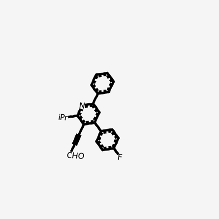 CC(C)c1nc(-c2ccccc2)cc(-c2ccc(F)cc2)c1C#CC=O